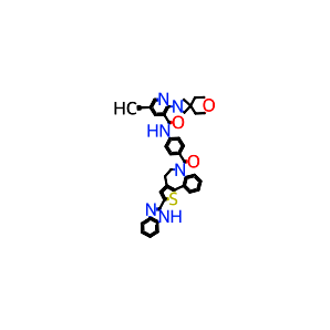 C#Cc1cnc(N2CC3(CCOCC3)C2)c(C(=O)Nc2ccc(C(=O)N3CCc4cc(-c5nc6ccccc6[nH]5)sc4-c4ccccc43)cc2)c1